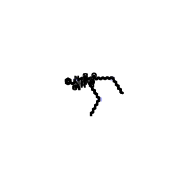 CCCCCCCC/C=C\CCCCCCCC(=O)NCC(NC(=O)CCCCCCC/C=C\CCCCCCCC)C(=O)NCC/N=C\C(Cc1ccccc1)NC(=O)CC